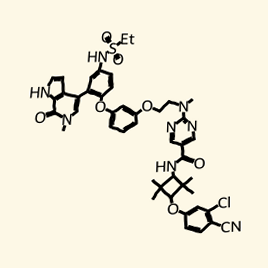 CCS(=O)(=O)Nc1ccc(Oc2cccc(OCCN(C)c3ncc(C(=O)NC4C(C)(C)C(Oc5ccc(C#N)c(Cl)c5)C4(C)C)cn3)c2)c(-c2cn(C)c(=O)c3[nH]ccc23)c1